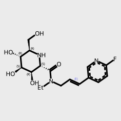 CCN(C/C=C/c1ccc(F)nc1)C(=O)[C@H]1N[C@H](CO)[C@@H](O)[C@H](O)[C@@H]1O